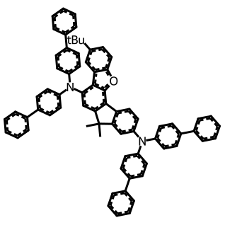 CC(C)(C)c1ccc2oc3c4c(cc(N(c5ccc(-c6ccccc6)cc5)c5ccc(-c6ccccc6)cc5)c3c2c1)C(C)(C)c1cc(N(c2ccc(-c3ccccc3)cc2)c2ccc(-c3ccccc3)cc2)ccc1-4